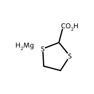 O=C(O)C1SCCS1.[MgH2]